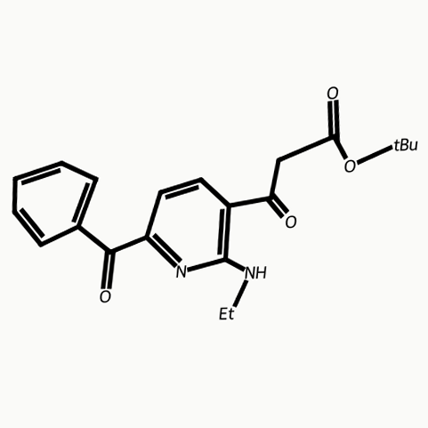 CCNc1nc(C(=O)c2ccccc2)ccc1C(=O)CC(=O)OC(C)(C)C